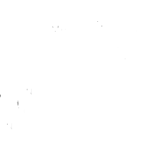 COc1c(-c2cc3c(s2)CCCC3NC(=O)[C@H]2CCCN2)c(C2CC2)cc2c(=O)c(C(=O)O)c[nH]c12